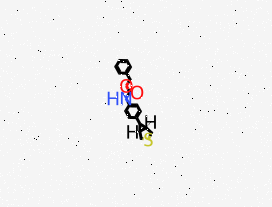 O=C(Nc1ccc(C2[C@H]3CSC[C@@H]23)cc1)OCc1ccccc1